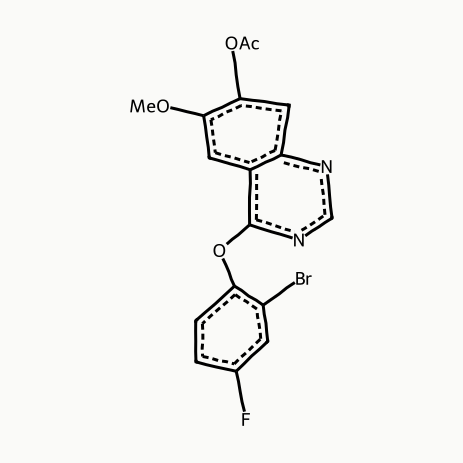 COc1cc2c(Oc3ccc(F)cc3Br)ncnc2cc1OC(C)=O